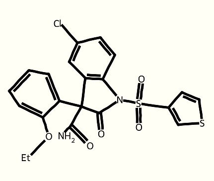 CCOc1ccccc1C1(C(N)=O)C(=O)N(S(=O)(=O)c2ccsc2)c2ccc(Cl)cc21